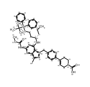 CCC[C@@H](CCO[Si](c1ccccc1)(c1ccccc1)C(C)(C)C)Nc1nc(NC(=O)OC)nc2c(I)nn(Cc3ccc(C4=CCN(C(=O)O)CC4)nc3)c12